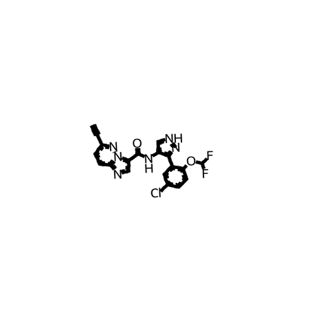 C#Cc1ccc2ncc(C(=O)Nc3c[nH]nc3-c3cc(Cl)ccc3OC(F)F)n2n1